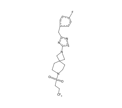 O=S(=O)(CCC(F)(F)F)N1CCC2(CC1)CN(c1nc(Cc3ccc(F)cc3)ns1)C2